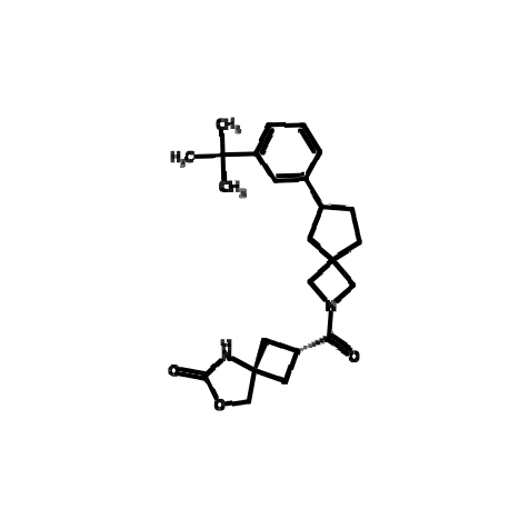 CC(C)(C)c1cccc(C2CCC3(C2)CN(C(=O)[C@H]2C[C@]4(COC(=O)N4)C2)C3)c1